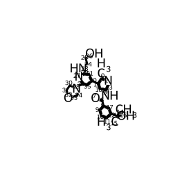 Cc1ncc(NC(=O)c2cccc(C(C)(C)O)c2)cc1-c1cc(NCCO)nc(N2CCOCC2)c1